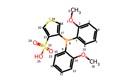 COc1ccccc1P(c1ccccc1OC)c1cscc1S(=O)(=O)O